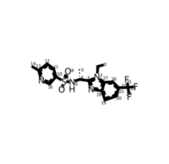 CCn1c([C@@H](C)NS(=O)(=O)c2ccc(C)nc2)nc2ccc(C(F)(F)F)cc21